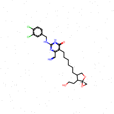 N=Cc1nc(NCc2ccc(Cl)c(Cl)c2)[nH]c(=O)c1CCCCCCC1CO[C@@]2(CO2)C1CCO